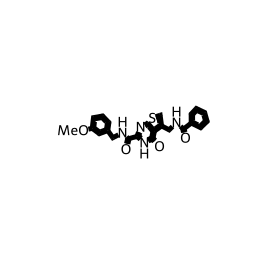 COc1cccc(CNC(=O)c2nc3scc(CNC(=O)c4ccccc4)c3c(=O)[nH]2)c1